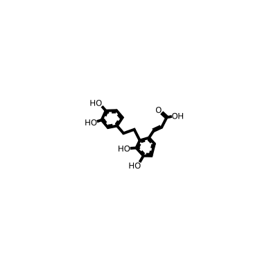 O=C(O)/C=C/c1ccc(O)c(O)c1CCc1ccc(O)c(O)c1